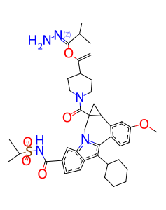 C=C(O/C(=N\N)C(C)C)C1CCN(C(=O)C23CC2c2cc(OC)ccc2-c2c(C4CCCCC4)c4ccc(C(=O)NS(=O)(=O)C(C)C)cc4n2C3)CC1